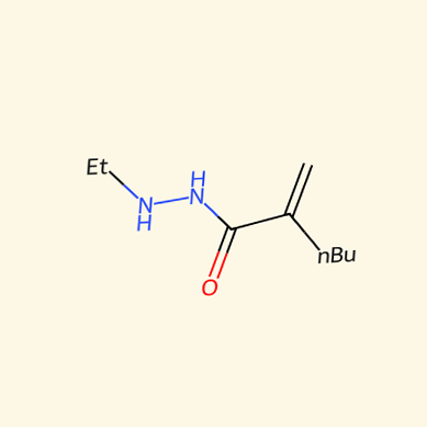 C=C(CCCC)C(=O)NNCC